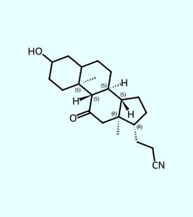 C[C@]12CC(=O)[C@H]3[C@@H](CCC4CC(O)CC[C@@]43C)[C@@H]1CC[C@@H]2CCC#N